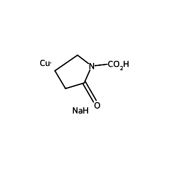 O=C(O)N1CCCC1=O.[Cu].[NaH]